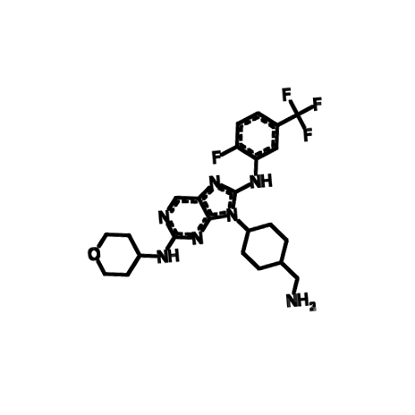 NCC1CCC(n2c(Nc3cc(C(F)(F)F)ccc3F)nc3cnc(NC4CCOCC4)nc32)CC1